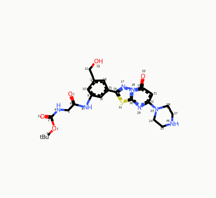 CC(C)(C)OC(=O)NCC(=O)Nc1cc(CO)cc(-c2nn3c(=O)cc(N4CCNCC4)nc3s2)c1